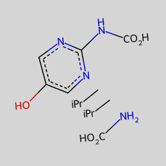 CC(C)C.CC(C)C.NC(=O)O.O=C(O)Nc1ncc(O)cn1